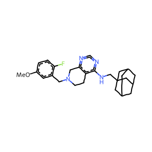 COc1ccc(F)c(CN2CCc3c(ncnc3NCC34CC5CC(CC(C5)C3)C4)C2)c1